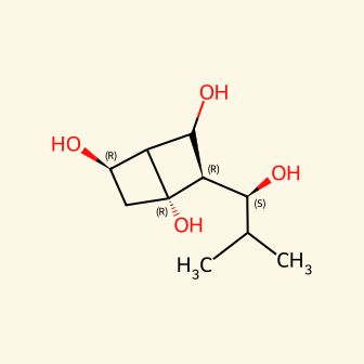 CC(C)[C@H](O)[C@@H]1C(O)C2[C@H](O)C[C@@]21O